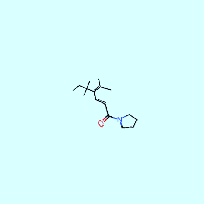 CCC(C)(C)C(/C=C/C(=O)N1CCCC1)=C(C)C